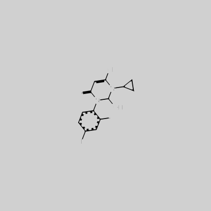 O=C1C=C(Cl)N(C2CC2)C(O)N1c1ccc(I)cc1F